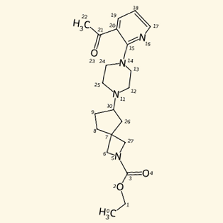 CCOC(=O)N1CC2(CCC(N3CCN(c4ncccc4C(C)=O)CC3)C2)C1